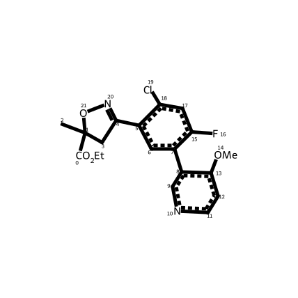 CCOC(=O)C1(C)CC(c2cc(-c3cnccc3OC)c(F)cc2Cl)=NO1